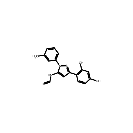 Cc1cccc(-n2nc(-c3ccc(O)cc3O)cc2NC=O)c1